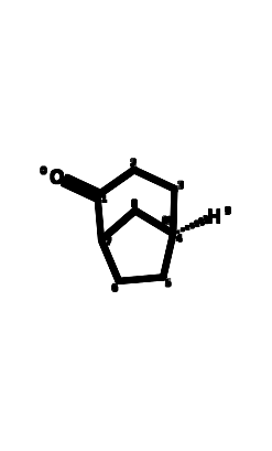 O=C1CC[C@H]2CCC1C2